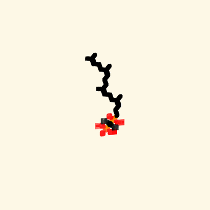 CCC(CC)(P(=O)(O)O)P(=O)(O)CCC=C(C)CCC=C(C)CCC=C(C)CCC=C(C)C